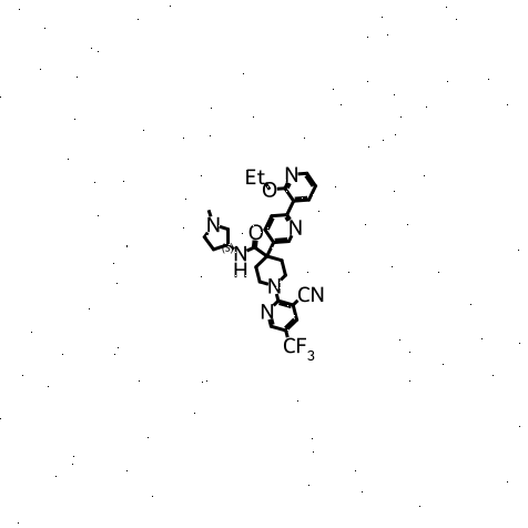 CCOc1ncccc1-c1ccc(C2(C(=O)N[C@H]3CCN(C)C3)CCN(c3ncc(C(F)(F)F)cc3C#N)CC2)cn1